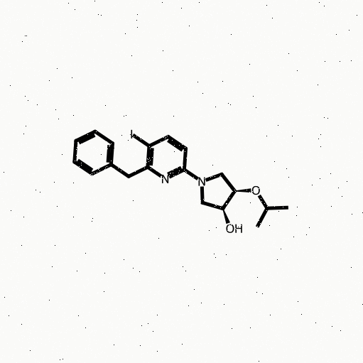 CC(C)O[C@@H]1CN(c2ccc(I)c(Cc3ccccc3)n2)C[C@@H]1O